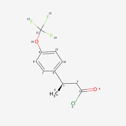 C[C@H](CC(=O)Cl)c1ccc(OC(F)(F)F)cc1